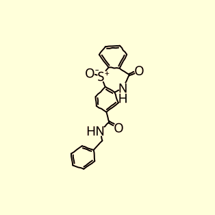 O=C(NCc1ccccc1)c1ccc2c(c1)NC(=O)c1ccccc1[S+]2[O-]